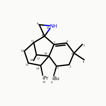 CCC(C)C1CC(C)(C)C=C2C3(CN3)C3CCC(C(C)C)C21C3C